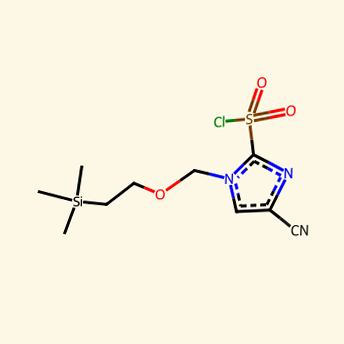 C[Si](C)(C)CCOCn1cc(C#N)nc1S(=O)(=O)Cl